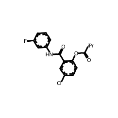 CC(C)C(=O)Oc1ccc(Cl)cc1C(=O)Nc1cccc(F)c1